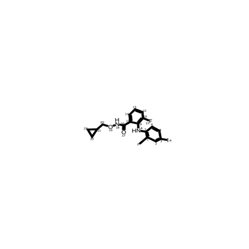 Cc1cc(I)ccc1Nc1c(F)cccc1C(=O)NOCC1CC1